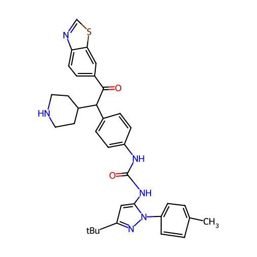 Cc1ccc(-n2nc(C(C)(C)C)cc2NC(=O)Nc2ccc(C(C(=O)c3ccc4ncsc4c3)C3CCNCC3)cc2)cc1